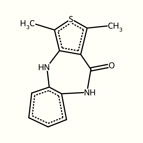 Cc1sc(C)c2c1Nc1ccccc1NC2=O